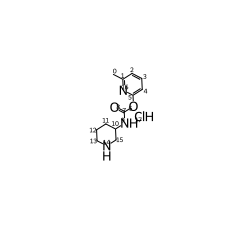 Cc1cccc(OC(=O)NC2CCCNC2)n1.Cl